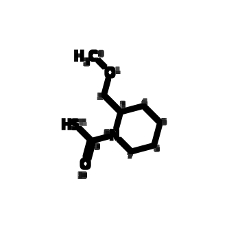 COCC1CCCCN1C(=O)S